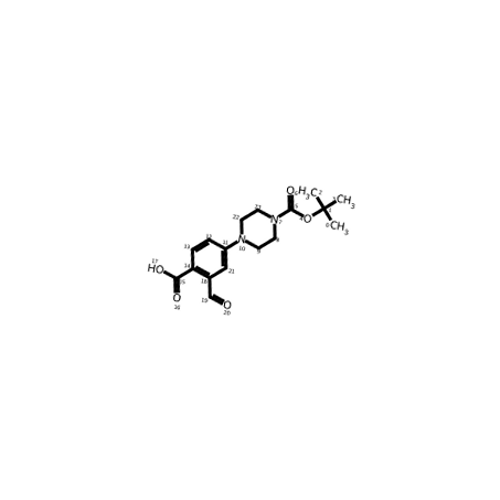 CC(C)(C)OC(=O)N1CCN(c2ccc(C(=O)O)c(C=O)c2)CC1